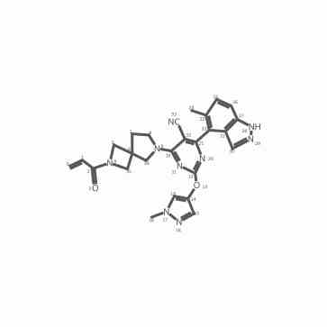 C=CC(=O)N1CC2(CCN(c3nc(Oc4cnn(C)c4)nc(-c4c(C)ccc5[nH]ncc45)c3C#N)C2)C1